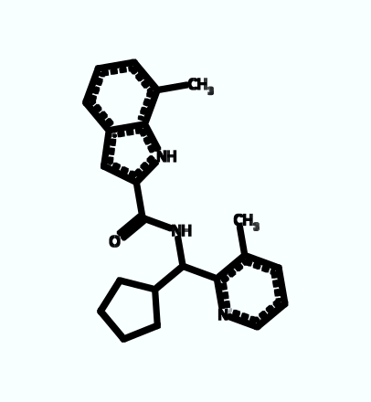 Cc1cccnc1C(NC(=O)c1cc2cccc(C)c2[nH]1)C1CCCC1